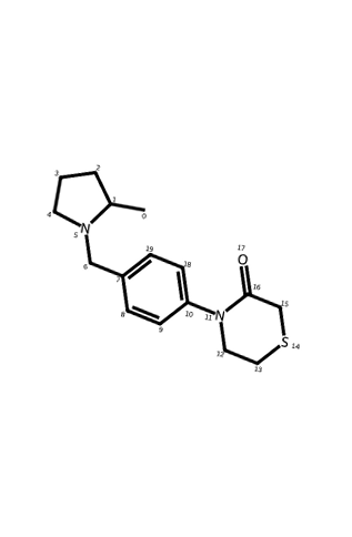 CC1CCCN1Cc1ccc(N2CCSCC2=O)cc1